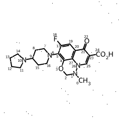 CN1COc2c(N3CCC(N4CCCC4)CC3)c(F)cc3c(=O)c(C(=O)O)cn1c23